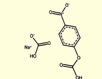 O=C(O)Oc1ccc([N+](=O)[O-])cc1.O=C([O-])O.[Na+]